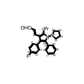 CC(C)c1c(C=CC=O)c(-c2ccc(F)cc2)c(-c2ccccc2)n1N1CCCC1